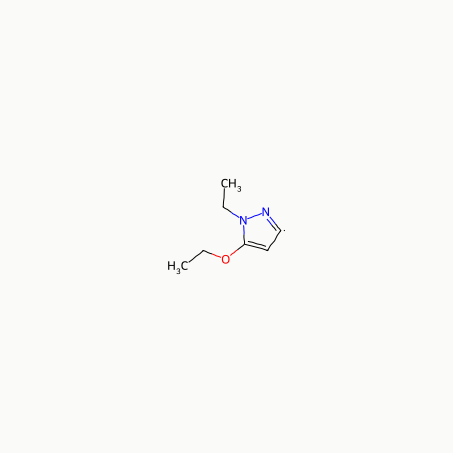 CCOc1c[c]nn1CC